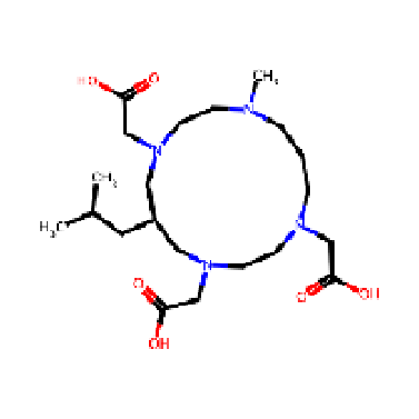 CC(C)CC1CN(CC(=O)O)CCN(C)CCCN(CC(=O)O)CCN(CC(=O)O)C1